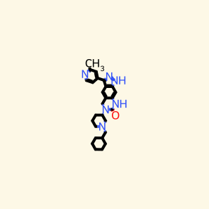 Cc1cc(-c2n[nH]c3cc4c(cc23)CN([C@@H]2CCCN(CC3CCCCC3)C2)C(=O)N4)ccn1